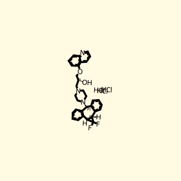 Cl.Cl.Cl.O[C@@H](COc1cccc2ncccc12)CN1CCN([C@@H]2c3ccccc3[C@@H]3[C@H](c4ccccc42)C3(F)F)CC1